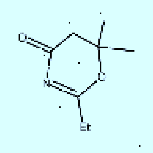 CCC1=NC(=O)CC(C)(C)O1